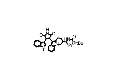 CC(C)C(NC(=O)OC(C)(C)C)C1CCc2c(C3=C(c4cn(C)c5ccccc45)C(=O)NC3=O)c3ccccc3n2C1